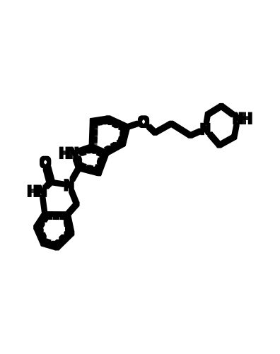 O=C1Nc2ccccc2CN1c1cc2cc(OCCCN3CCNCC3)ccc2[nH]1